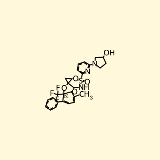 CC1=CC=C(c2ccccc2)[C@](OC2(C(=O)NS(=O)(=O)c3cccc(N4CCC(O)C4)n3)CC2)(C(F)(F)F)C1